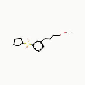 CCCOCCCCc1cccc(S(=O)(=O)C2CCCC2)c1